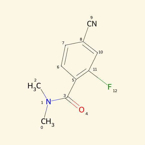 CN(C)C(=O)c1ccc(C#N)cc1F